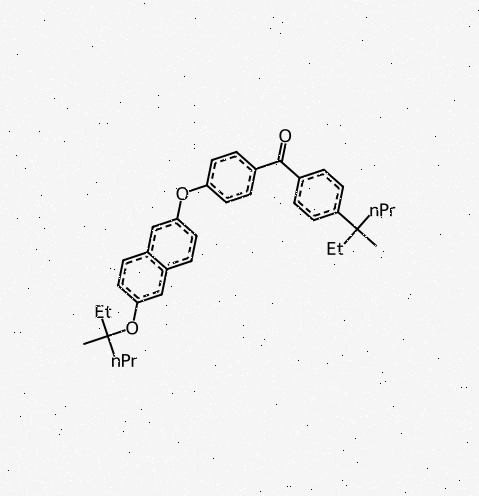 CCCC(C)(CC)Oc1ccc2cc(Oc3ccc(C(=O)c4ccc(C(C)(CC)CCC)cc4)cc3)ccc2c1